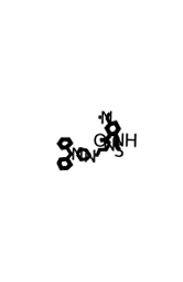 CN(C)c1ccc2[nH]c(=S)n(CCCN3CCN(C(c4ccccc4)c4ccccc4)CC3)c(=O)c2c1